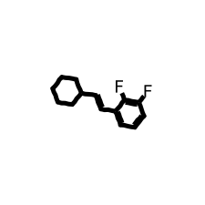 Fc1cccc(C=CC2CCCCC2)c1F